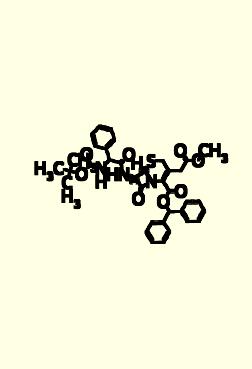 COC(=O)CC1=C(C(=O)OC(c2ccccc2)c2ccccc2)N2C(=O)[C@@H](NC(=O)C(NC(=O)OC(C)(C)C)c3ccccc3)[C@@H]2SC1